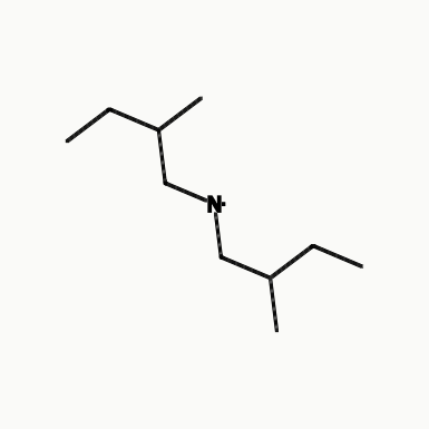 CCC(C)C[N]CC(C)CC